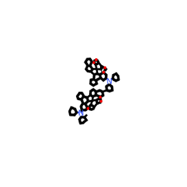 Cc1ccccc1N(c1ccccc1)c1ccc2c3c(c4ccccc4c2c1)-c1ccc2cc(-c4cccc(N(c5ccccc5)c5ccc6c7c(c8ccccc8c6c5)-c5ccc6ccccc6c5C75c6ccccc6-c6ccccc65)c4)ccc2c1C31c2ccccc2-c2ccccc21